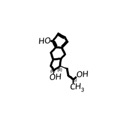 C[C@H](O)CC[C@@H]1C2Cc3cccc(O)c3CC2C[C@H]1O